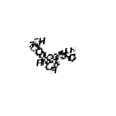 N#C[C@@H]1[C@@H](c2ccccc2)CN(C(=O)[C@@H]2CC[C@@H]3CCC[C@H](NC(=O)c4cc5cc([C@@H](F)P(=O)(O)O)ccc5s4)C(=O)N32)C12CC2